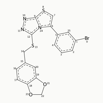 Brc1cccc(-c2csc3nnc(SCc4ccc5c(c4)OCO5)n23)c1